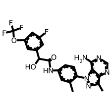 Cc1cc(NC(=O)C(O)c2cc(F)cc(OC(F)(F)F)c2)ccc1-n1nc(C)c2ncnc(N)c21